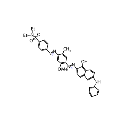 CCN(CC)S(=O)(=O)c1ccc(/N=N/c2cc(OC)c(/N=N/c3ccc4cc(Nc5ccccc5)ccc4c3O)cc2C)cc1